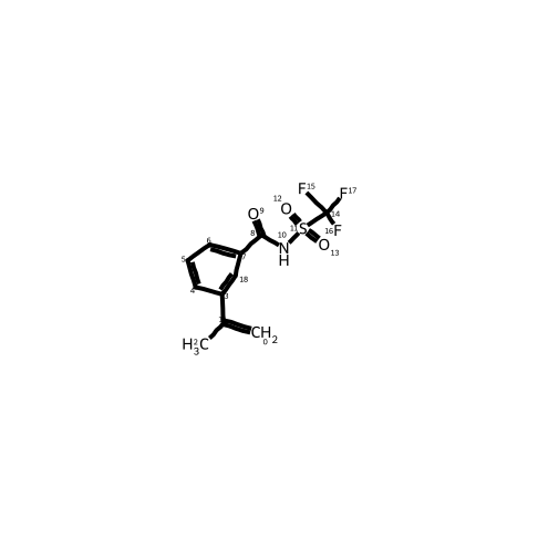 C=C(C)c1cccc(C(=O)NS(=O)(=O)C(F)(F)F)c1